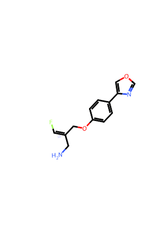 NC/C(=C/F)COc1ccc(-c2cocn2)cc1